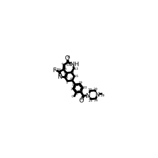 Cc1cc(C2CC3=C4C(=CC(=O)NCC4C2)C(F)=N3)ccc1C(=O)N1CCN(C)CC1